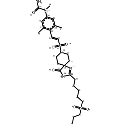 CCCS(=O)(=O)CCCCCC1=NC2(CCN(S(=O)(=O)C=Cc3c(C)cc(N(C)C(N)=O)cc3C)CC2)C(=O)N1